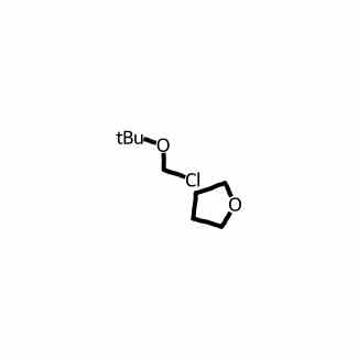 C1CCOC1.CC(C)(C)OCCl